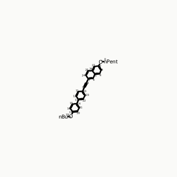 CCCCCOc1ccc2cc(C#Cc3ccc(-c4ccc(OCCCC)cc4)cc3)ccc2c1